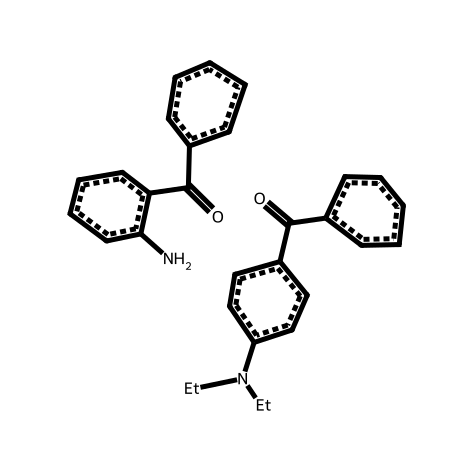 CCN(CC)c1ccc(C(=O)c2ccccc2)cc1.Nc1ccccc1C(=O)c1ccccc1